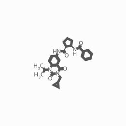 CC(C)n1c(=O)n(CC2CC2)c(=O)c2cc(NC(=O)[C@H]3CCC[C@H]3NC(=O)c3ccccc3)ccc21